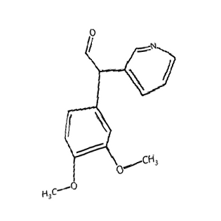 COc1ccc(C(C=O)c2cccnc2)cc1OC